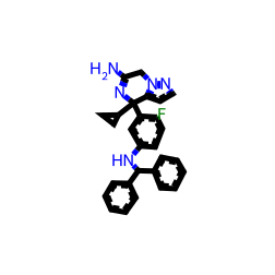 NC1=NC(c2cc(NC(c3ccccc3)c3ccccc3)ccc2F)(C2CC2)c2ccnn2C1